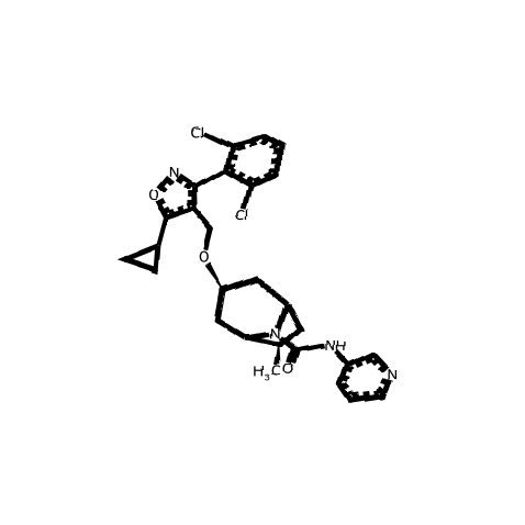 C[C@@H]1CC2C[C@H](OCc3c(-c4c(Cl)cccc4Cl)noc3C3CC3)CC1N2C(=O)Nc1cccnc1